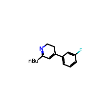 CCCCC1=NCCC(c2cccc(F)c2)=C1